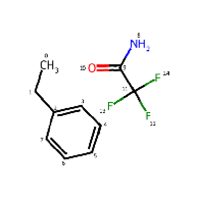 CCc1ccccc1.NC(=O)C(F)(F)F